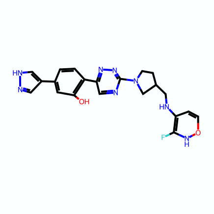 Oc1cc(-c2cn[nH]c2)ccc1-c1cnc(N2CCC(CNC3=C(F)NOC=C3)C2)nn1